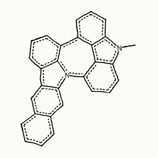 Cn1c2cccc3c4cccc5c6cc7ccccc7cc6n(c6cccc1c6c32)c45